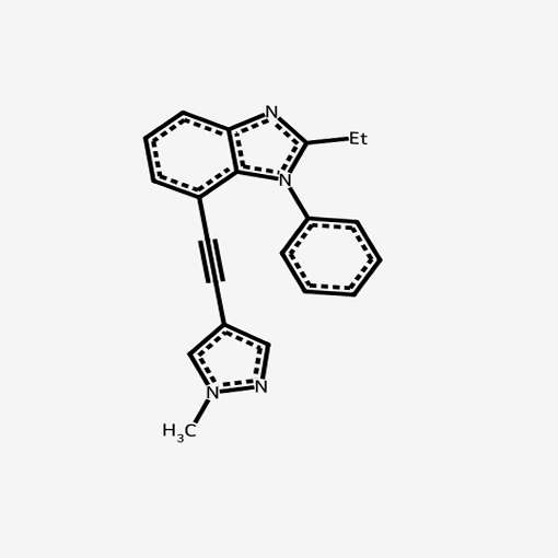 CCc1nc2cccc(C#Cc3cnn(C)c3)c2n1-c1ccccc1